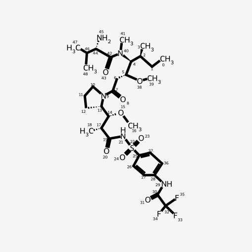 CC[C@H](C)[C@@H]([C@@H](CC(=O)N1CCC[C@H]1[C@H](OC)[C@@H](C)C(=O)NS(=O)(=O)c1ccc(NC(=O)C(F)(F)F)cc1)OC)N(C)C(=O)[C@@H](N)C(C)C